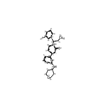 O=c1cc(-c2ccnc(NC3CCOCC3)n2)ccn1C(CO)c1cccc(F)c1